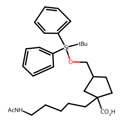 CC(=O)NCCCCCC1(C(=O)O)CCC(CO[Si](c2ccccc2)(c2ccccc2)C(C)(C)C)C1